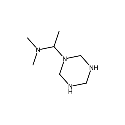 CC(N(C)C)N1CNCNC1